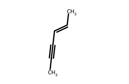 CC#C/C=C/C